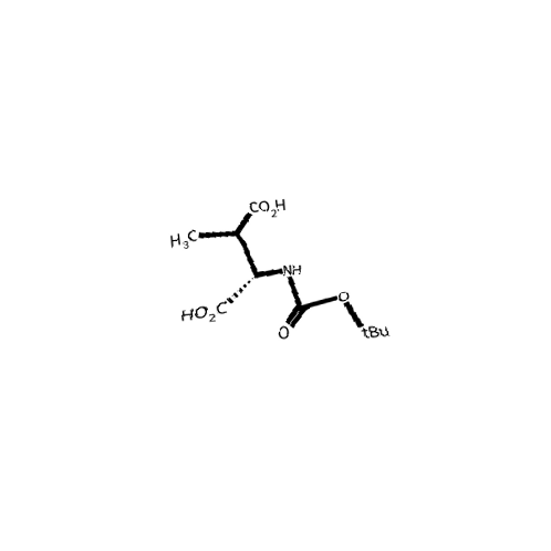 CC(C(=O)O)[C@H](NC(=O)OC(C)(C)C)C(=O)O